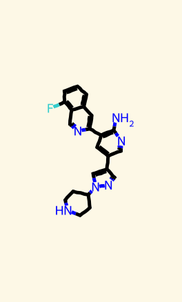 Nc1ncc(-c2cnn(C3CCNCC3)c2)cc1-c1cc2cccc(F)c2cn1